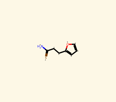 NC(=S)CCc1ccco1